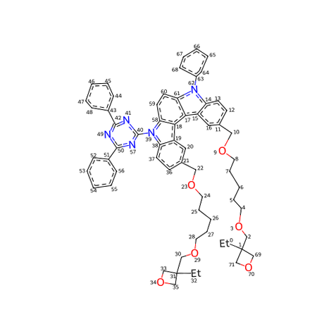 CCC1(COCCCCCOCc2ccc3c(c2)c2c4c5cc(COCCCCCOCC6(CC)COC6)ccc5n(-c5nc(-c6ccccc6)nc(-c6ccccc6)n5)c4ccc2n3-c2ccccc2)COC1